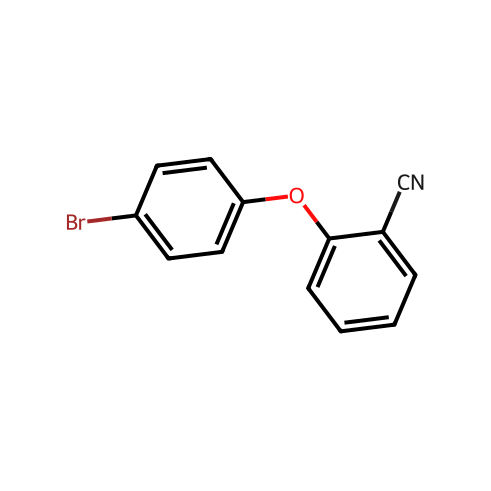 N#Cc1ccccc1Oc1ccc(Br)cc1